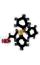 OC=CC[PH](c1ccccc1)(c1ccccc1)c1ccccc1